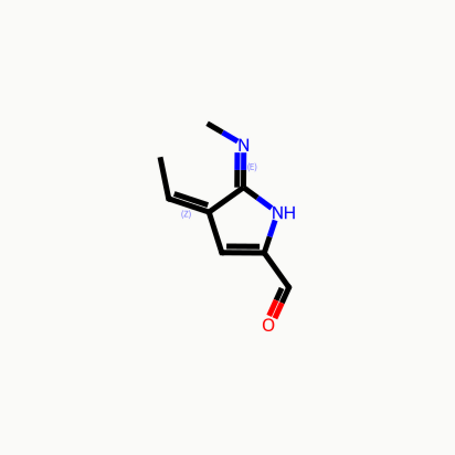 C/C=C1/C=C(C=O)N/C1=N/C